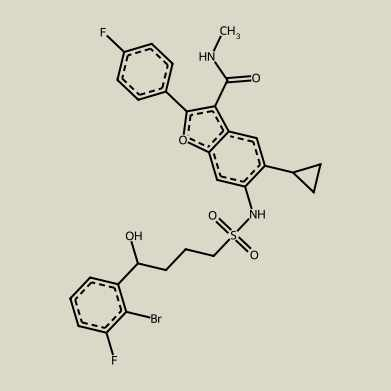 CNC(=O)c1c(-c2ccc(F)cc2)oc2cc(NS(=O)(=O)CCCC(O)c3cccc(F)c3Br)c(C3CC3)cc12